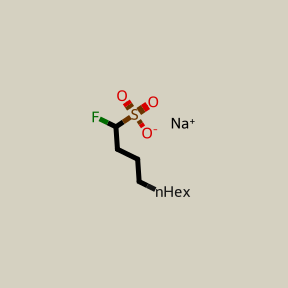 CCCCCCCCCC(F)S(=O)(=O)[O-].[Na+]